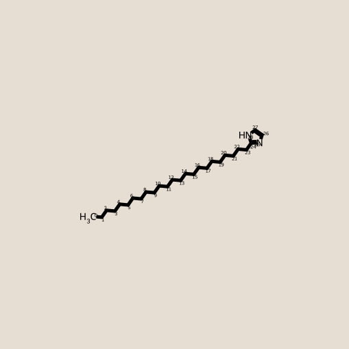 CCCCCCCCCCCCCCCCCCCCCCCCc1ncc[nH]1